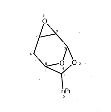 CCCC1OC2OC1CC1OC12